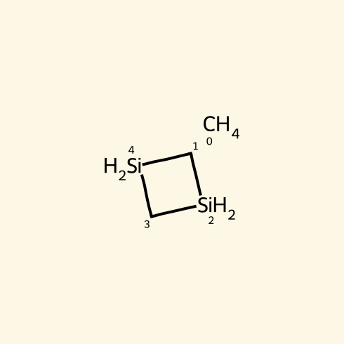 C.C1[SiH2]C[SiH2]1